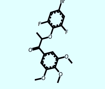 COc1cc(C(=O)C(C)Oc2c(F)cc(Br)cc2F)cc(OC)c1OC